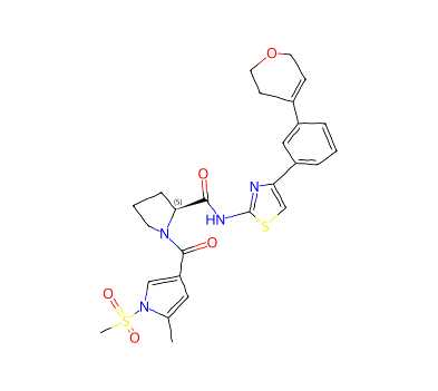 Cc1cc(C(=O)N2CCC[C@H]2C(=O)Nc2nc(-c3cccc(C4=CCOCC4)c3)cs2)cn1S(C)(=O)=O